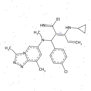 C=C/C(NC1CC1)=C(/C(=N)CC)C(c1ccc(Cl)cc1)N(C)c1cc(C)c2nnc(C)n2c1